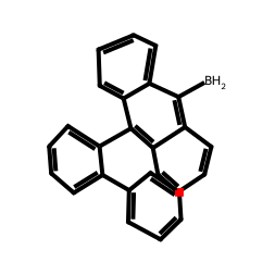 Bc1c2ccccc2c(-c2ccccc2-c2ccccc2)c2ccccc12